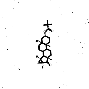 CC(C)(C)C(=O)O[C@H]1CC[C@]2(C)C3CC[C@]4(C)C(=O)[C@H]5C[C@H]5C4C3C=C[C@]2(O)C1